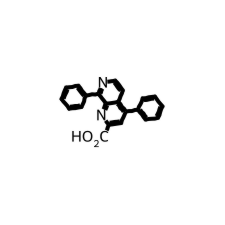 O=C(O)c1cc(-c2ccccc2)c2ccnc(-c3ccccc3)c2n1